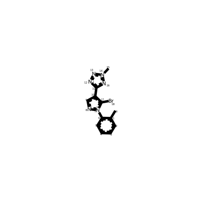 Cc1ccccc1-n1ncc(-c2nnn(C)n2)c1Br